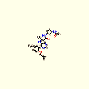 CCC(=O)NC1CCC(NC(=O)c2c(C)[nH]c3c(-c4cc(C(F)(F)F)ccc4OCC4CC4)ncnc23)C1